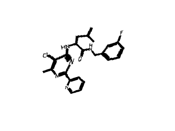 Cc1nc(-c2ccccn2)nc(NC(CC(C)C)C(=O)NCc2cccc(F)c2)c1Cl